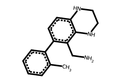 Cc1ccccc1-c1ccc2c(c1CN)NCCN2